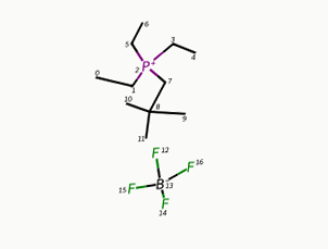 CC[P+](CC)(CC)CC(C)(C)C.F[B-](F)(F)F